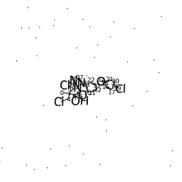 CC(CCl)(CCl)C(O)C(Oc1ccc(Oc2ccc(Cl)cc2)cc1)n1cncn1